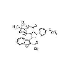 COc1ccc([C@@H]2CC(c3c(C(=O)O)oc4ccccc34)N(C(=O)OC(C)(C)C)[C@@H]2C(N)=O)cc1